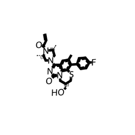 C=CC(=O)N1[C@H](C)CN(c2nc(=O)n3c4c(c(-c5ccc(F)cc5)c(C)cc24)SC[C@H](CO)C3)C[C@@H]1C